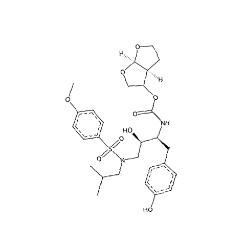 COc1ccc(S(=O)(=O)N(CC(C)C)C[C@@H](O)[C@H](Cc2ccc(O)cc2)NC(=O)OC2CO[C@H]3OCC[C@@H]23)cc1